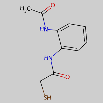 CC(=O)Nc1ccccc1NC(=O)CS